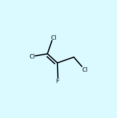 FC(CCl)=C(Cl)Cl